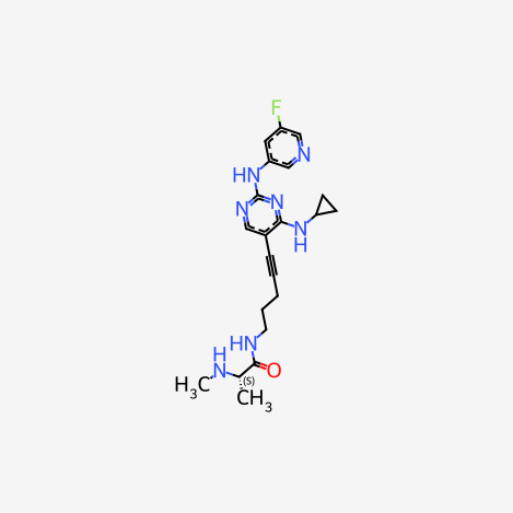 CN[C@@H](C)C(=O)NCCCC#Cc1cnc(Nc2cncc(F)c2)nc1NC1CC1